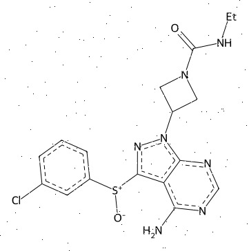 CCNC(=O)N1CC(n2nc([S+]([O-])c3cccc(Cl)c3)c3c(N)ncnc32)C1